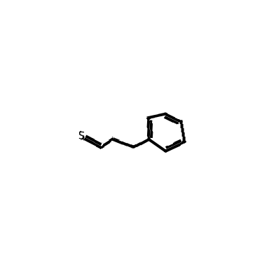 S=[C]CCc1ccccc1